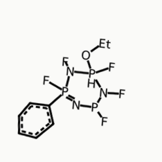 CCO[PH]1(F)N(F)P(F)N=P(F)(c2ccccc2)N1F